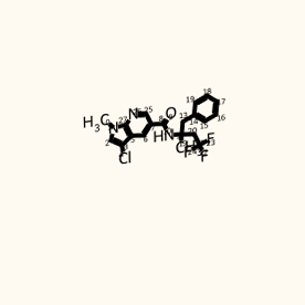 Cn1cc(Cl)c2cc(C(=O)NC(C)(Cc3ccccc3)CC(F)(F)F)cnc21